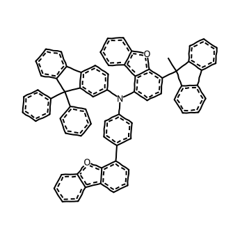 CC1(c2ccc(N(c3ccc(-c4cccc5c4oc4ccccc45)cc3)c3ccc4c(c3)C(c3ccccc3)(c3ccccc3)c3ccccc3-4)c3c2oc2ccccc23)c2ccccc2-c2ccccc21